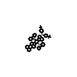 CC(C)(C)c1ccc(N(c2ccc(C(C)(C)C)cc2)c2ccc3c4c(-n5c6ccccc6c6ccccc65)c5c6ccc7c8cccc9cccc(c%10ccc(c5c(-n5c%11ccccc%11c%11ccccc%115)c4c4cccc2c43)c6c%107)c98)cc1